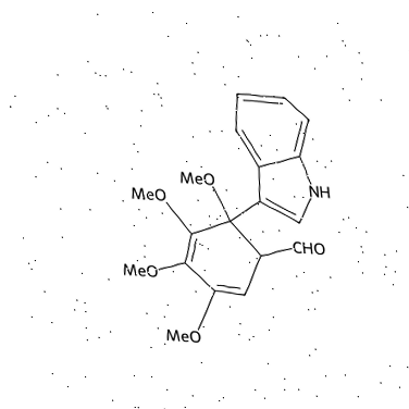 COC1=CC(C=O)C(OC)(c2c[nH]c3ccccc23)C(OC)=C1OC